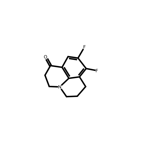 O=C1CCN2CCCc3c(F)c(F)cc1c32